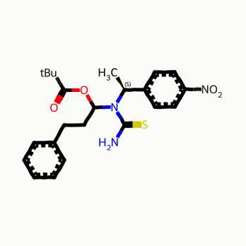 C[C@@H](c1ccc([N+](=O)[O-])cc1)N(C(N)=S)C(CCc1ccccc1)OC(=O)C(C)(C)C